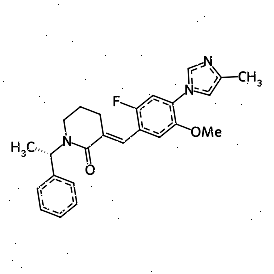 COc1cc(/C=C2\CCCN([C@@H](C)c3ccccc3)C2=O)c(F)cc1-n1cnc(C)c1